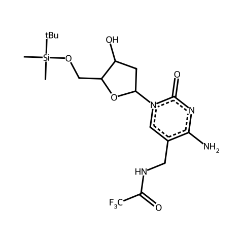 CC(C)(C)[Si](C)(C)OCC1OC(n2cc(CNC(=O)C(F)(F)F)c(N)nc2=O)CC1O